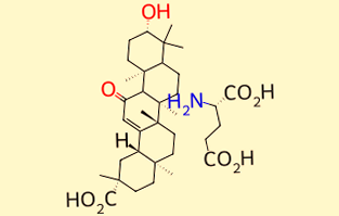 CC1(C)C2CC[C@]3(C)C(C(=O)C=C4[C@H]5C[C@@](C)(C(=O)O)CC[C@]5(C)CC[C@]43C)[C@@]2(C)CC[C@@H]1O.N[C@@H](CCC(=O)O)C(=O)O